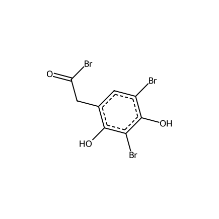 O=C(Br)Cc1cc(Br)c(O)c(Br)c1O